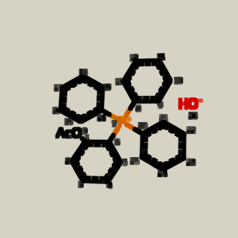 CC(=O)Oc1ccccc1[P+](c1ccccc1)(c1ccccc1)c1ccccc1.[OH-]